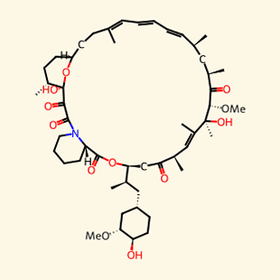 CO[C@@H]1C[C@H](C[C@@H](C)[C@@H]2CC(=O)[C@H](C)/C=C(\C)[C@](C)(O)[C@@H](OC)C(=O)[C@H](C)C[C@H](C)/C=C/C=C/C=C(\C)CC[C@@H]3CC[C@@H](C)[C@@](O)(O3)C(=O)C(=O)N3CCCC[C@H]3C(=O)O2)CC[C@H]1O